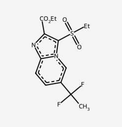 CCOC(=O)c1nc2ccc(C(C)(F)F)cn2c1S(=O)(=O)CC